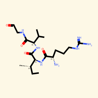 CC[C@H](C)[C@H](NC(=O)[C@@H](N)CCCNC(=N)N)C(=O)N[C@H](C(=O)NC[C]=O)C(C)C